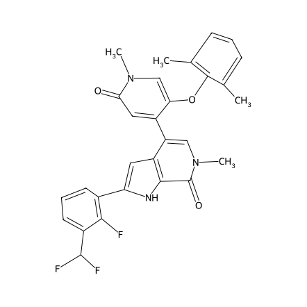 Cc1cccc(C)c1Oc1cn(C)c(=O)cc1-c1cn(C)c(=O)c2[nH]c(-c3cccc(C(F)F)c3F)cc12